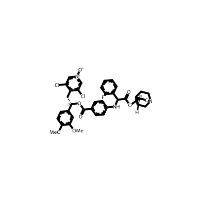 COc1ccc([C@H](Cc2c(Cl)c[n+]([O-])cc2Cl)OC(=O)c2ccc(NC(C(=O)O[C@H]3CN4CCC3CC4)c3ccccc3F)cc2)cc1OC